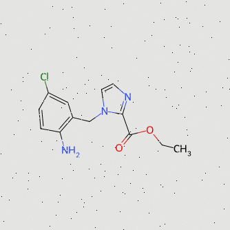 CCOC(=O)c1nccn1Cc1cc(Cl)ccc1N